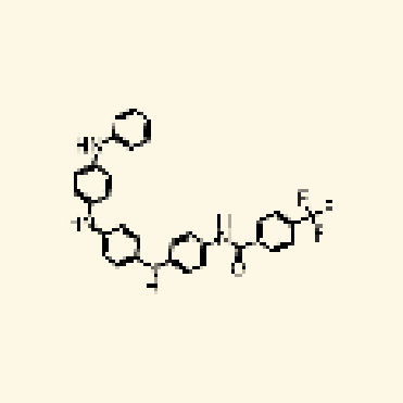 O=C(Nc1ccc(Nc2ccc(Nc3ccc(Nc4ccccc4)cc3)cc2)cc1)c1ccc(C(F)(F)F)cc1